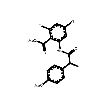 COC(=O)c1c(Cl)cc(Cl)cc1NC(=O)C(C)c1ccc(OC)cc1